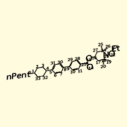 CCCCCC1CCC(c2ccc(-c3ccc(C(=O)OC4CC(C)(C)N(OCC)C(C)(C)C4)cc3)cc2)CC1